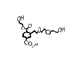 O=C(O)c1ccc(C(=O)OCCO)c(CCOCCOCCO)c1